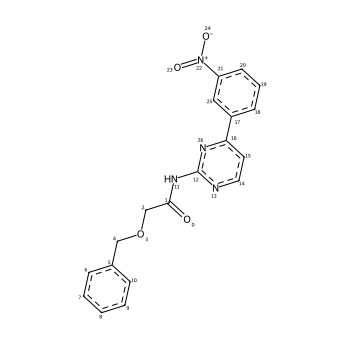 O=C(COCc1ccccc1)Nc1nccc(-c2cccc([N+](=O)[O-])c2)n1